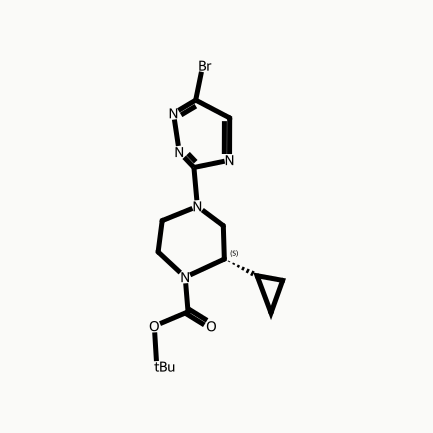 CC(C)(C)OC(=O)N1CCN(c2ncc(Br)nn2)C[C@@H]1C1CC1